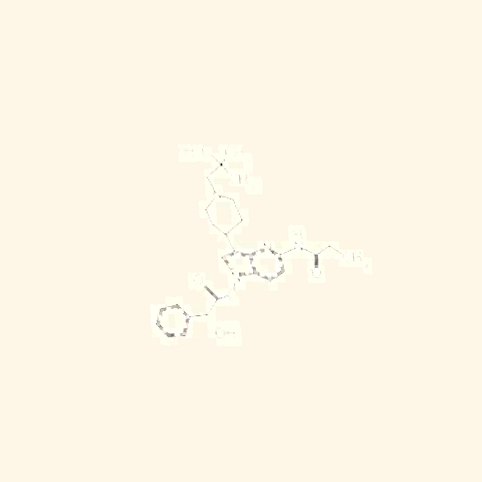 CCC(=O)Nc1ccc2c(n1)c(C1CCN(CC(C)(C)C)CC1)cn2OC(=O)[C@H](O)c1ccccc1